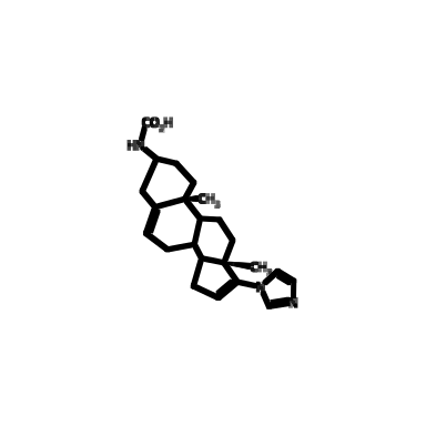 C[C@]12CCC(NC(=O)O)CC1=CCC1C2CC[C@]2(C)C(n3ccnc3)=CCC12